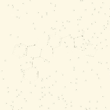 CC1(C)c2ccccc2N(c2ccccc2)C2C=Cc3cc(C=C4C(=O)c5ccccc5C4=O)ccc3C21